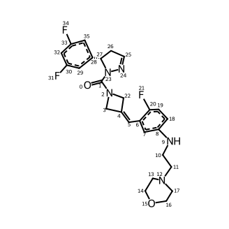 O=C(N1CC(=Cc2cc(NCCN3CCOCC3)ccc2F)C1)N1N=CC[C@H]1c1cc(F)cc(F)c1